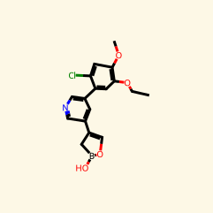 CCOc1cc(-c2cncc(C3=COB(O)C3)c2)c(Cl)cc1OC